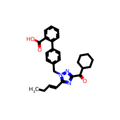 CCC=Cc1nc(C(=O)C2CCCCC2)nn1Cc1ccc(-c2ccccc2C(=O)O)cc1